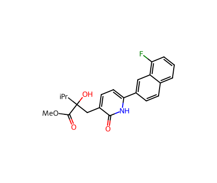 COC(=O)C(O)(Cc1ccc(-c2ccc3cccc(F)c3c2)[nH]c1=O)C(C)C